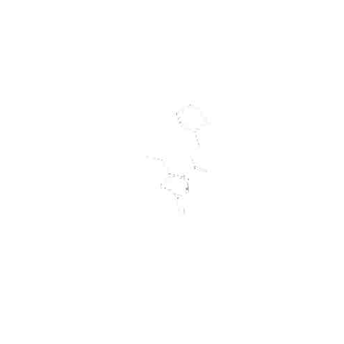 CCc1nc(C)cn1C(=O)OCc1ccccc1